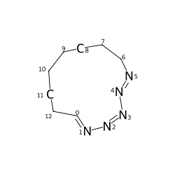 C1=N/N=N\N=N\CCCCCCC/1